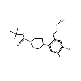 Cc1cc(C2CCN(C(=O)OC(C)(C)C)CC2)c(CCCO)cc1Cl